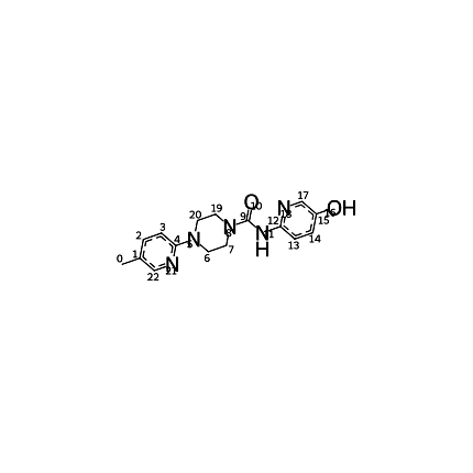 Cc1ccc(N2CCN(C(=O)Nc3ccc(O)cn3)CC2)nc1